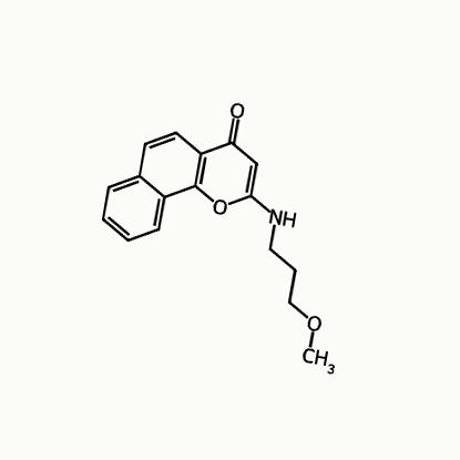 COCCCNc1cc(=O)c2ccc3ccccc3c2o1